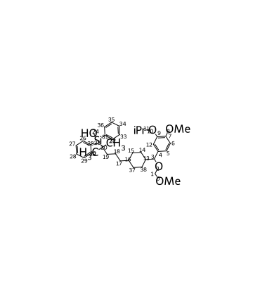 COCOC(c1ccc(OC)c(OC(C)C)c1)C1CCC(CCCC(C)(C)[Si](O)(c2ccccc2)c2ccccc2)CC1